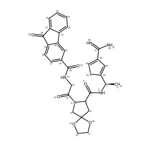 C[C@@H](NC(=O)C1CC2(CN1C(=O)CNC(=O)c1ccc3c(c1)-c1ccccc1C3=O)OCCO2)c1cc(C(=N)N)cs1